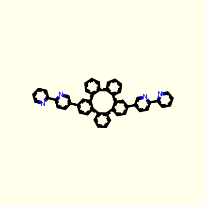 c1ccc(-c2ccc(-c3ccc4c5ccccc5c5ccc(-c6ccc(-c7ccccn7)nc6)cc5c5ccccc5c5ccccc5c4c3)cn2)nc1